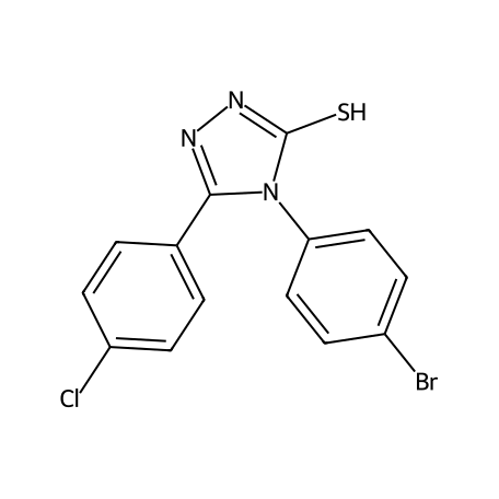 Sc1nnc(-c2ccc(Cl)cc2)n1-c1ccc(Br)cc1